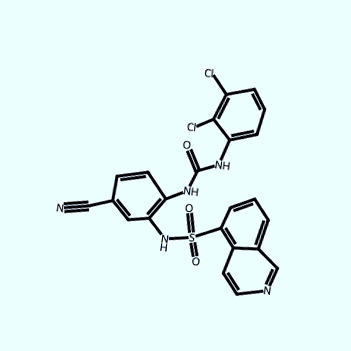 N#Cc1ccc(NC(=O)Nc2cccc(Cl)c2Cl)c(NS(=O)(=O)c2cccc3cnccc23)c1